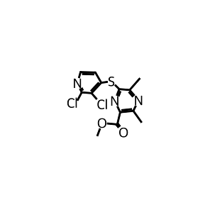 COC(=O)c1nc(Sc2ccnc(Cl)c2Cl)c(C)nc1C